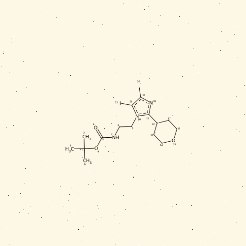 CC(C)(C)OC(=O)NCCn1c(C2CCOCC2)nc(I)c1I